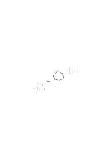 CC1(C)CC(C=Cc2ccc(C(C)(C)C)cc2)O1